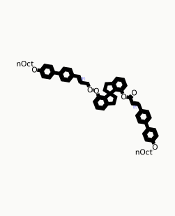 CCCCCCCCOc1ccc(-c2ccc(/C=C/COOc3cccc4c3C3(CC4)CCc4cccc(OC(=O)/C=C/c5ccc(-c6ccc(OCCCCCCCC)cc6)cc5)c43)cc2)cc1